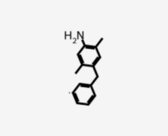 Cc1cc(Cc2c[c]ccc2)c(C)cc1N